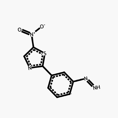 N=Nc1[c]ccc(-c2ncc([N+](=O)[O-])s2)c1